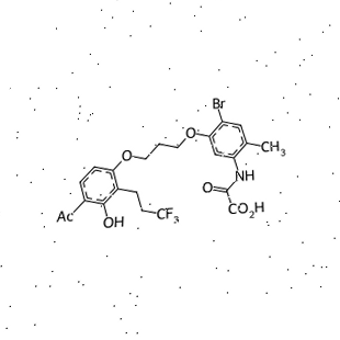 CC(=O)c1ccc(OCCCOc2cc(NC(=O)C(=O)O)c(C)cc2Br)c(CCC(F)(F)F)c1O